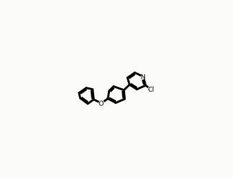 Clc1cc(-c2ccc(Oc3ccccc3)cc2)ccn1